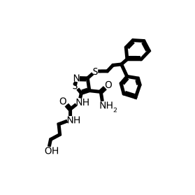 NC(=O)c1c(SCCC(c2ccccc2)c2ccccc2)nsc1NC(=O)NCCCO